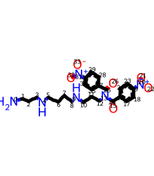 NCCCNCCCCNCCCN(C(=O)c1ccc([N+](=O)[O-])cc1)C(=O)c1ccc([N+](=O)[O-])cc1